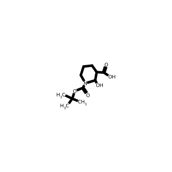 CC(C)(C)OC(=O)N1CCCC(C(=O)O)C1O